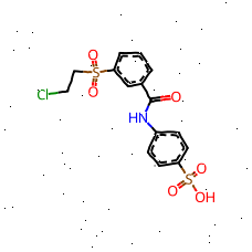 O=C(Nc1c[c]c(S(=O)(=O)O)cc1)c1cccc(S(=O)(=O)CCCl)c1